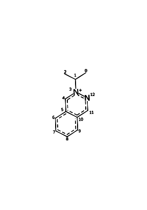 CC(C)[n+]1cc2ccccc2cn1